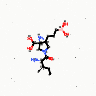 CC[C@H](C)[C@H](N)C(=O)N1CC(CCCB(O)O)[C@](N)(C(O)O)C1